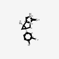 Fc1ccc([C@]23C[C@H]2c2c[nH]c(=S)n2C3)cc1F